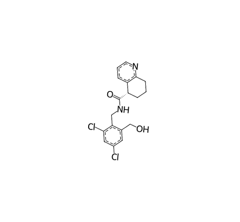 O=C(NCc1c(Cl)cc(Cl)cc1CO)[C@H]1CCCc2ncccc21